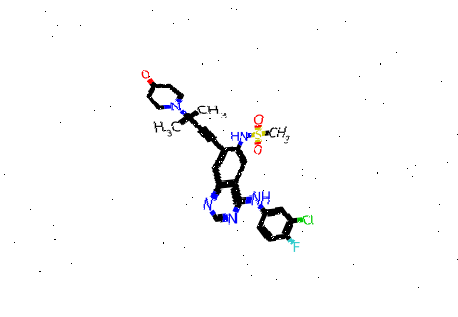 CC(C)(C#Cc1cc2ncnc(Nc3ccc(F)c(Cl)c3)c2cc1NS(C)(=O)=O)N1CCC(=O)CC1